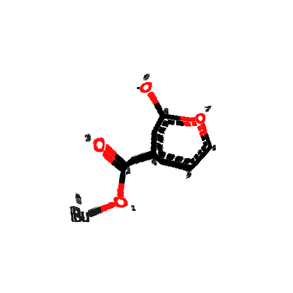 CCC(C)OC(=O)c1ccoc1[O]